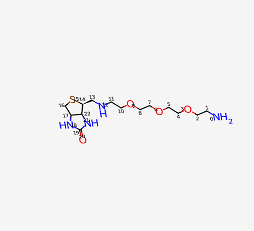 NCCOCCOCCOCCNC[C@@H]1SCC2NC(=O)NC21